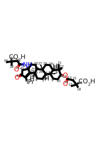 CC(C)C1=C2[C@H]3CC[C@@H]4[C@@]5(C)CC[C@H](OC(=O)CC(C)(C)C(=O)O)C(C)(C)[C@@H]5CC[C@@]4(C)[C@]3(C)CC[C@@]2(NC(=O)CC(C)(C)C(=O)O)CC1=O